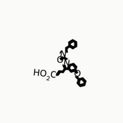 CN(CCc1ccccc1)C(=O)Cn1cc(C/C=C/C(=O)O)c2cc(OCc3ccccc3)ccc21